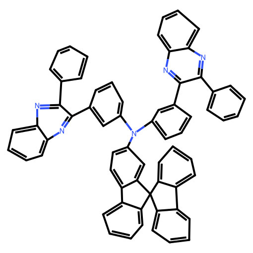 c1ccc(-c2nc3ccccc3nc2-c2cccc(N(c3cccc(-c4nc5ccccc5nc4-c4ccccc4)c3)c3ccc4c(c3)C3(c5ccccc5-c5ccccc53)c3ccccc3-4)c2)cc1